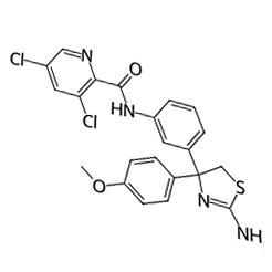 COc1ccc(C2(c3cccc(NC(=O)c4ncc(Cl)cc4Cl)c3)CSC(N)=N2)cc1